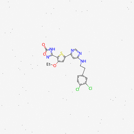 CCOc1cc(-c2cc(NCCc3ccc(Cl)c(Cl)c3)ncn2)sc1-c1noc(=O)[nH]1